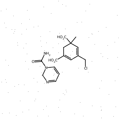 CC1(C(=O)O)C=C(CCl)C=C(C(=O)O)C1.NC(=O)N1C=CC=NC1